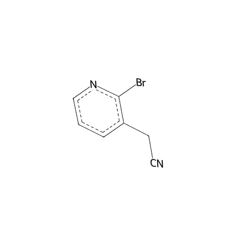 N#CCc1cccnc1Br